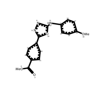 COC(=O)c1ccc(-c2nnc(Nc3ccc(OC)cc3)o2)cc1